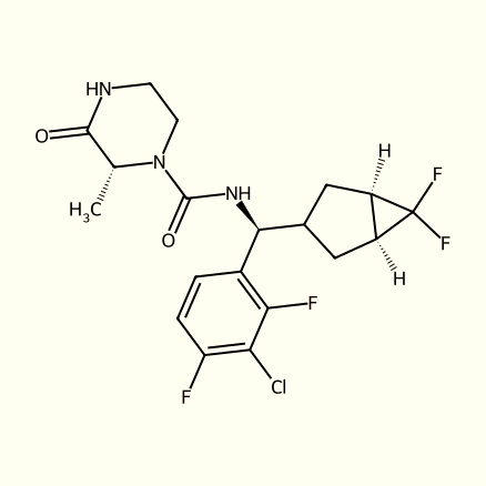 C[C@@H]1C(=O)NCCN1C(=O)N[C@H](c1ccc(F)c(Cl)c1F)C1C[C@@H]2[C@H](C1)C2(F)F